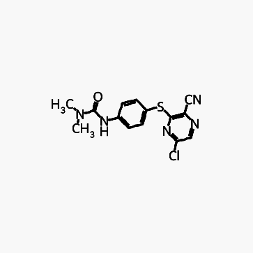 CN(C)C(=O)Nc1ccc(Sc2nc(Cl)cnc2C#N)cc1